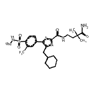 CC(C)(C)NS(=O)(=O)c1ccc(-c2sc(C(=O)NCCC(C)(C)C(N)=O)nc2CC2CCCCC2)cc1C(F)(F)F